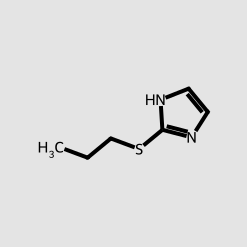 CCCSc1ncc[nH]1